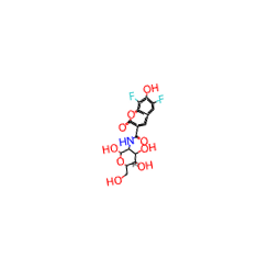 O=C(NC1C(O)OC(CO)[C@H](O)C1O)c1cc2cc(F)c(O)c(F)c2oc1=O